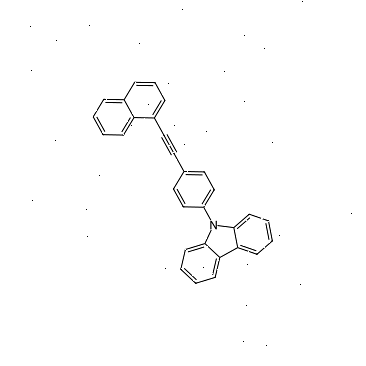 C(#Cc1cccc2ccccc12)c1ccc(-n2c3ccccc3c3ccccc32)cc1